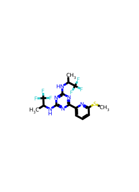 CSc1cccc(-c2nc(NC(C)C(F)(F)F)nc(NC(C)C(F)(F)F)n2)n1